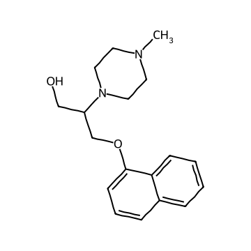 CN1CCN(C(CO)COc2cccc3ccccc23)CC1